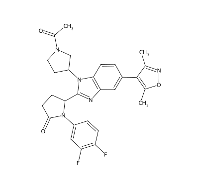 CC(=O)N1CCC(n2c(C3CCC(=O)N3c3ccc(F)c(F)c3)nc3cc(-c4c(C)noc4C)ccc32)C1